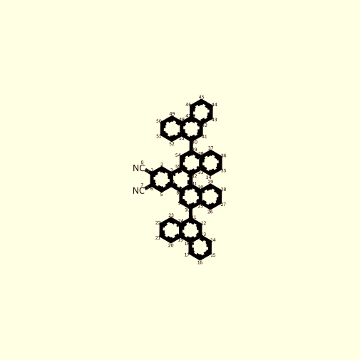 N#Cc1cc2c(cc1C#N)c1cc(-c3cc4ccccc4c4ccccc34)c3ccccc3c1c1c3ccccc3c(-c3cc4ccccc4c4ccccc34)cc21